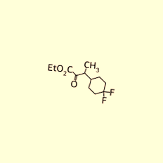 CCOC(=O)C(=O)C(C)C1CCC(F)(F)CC1